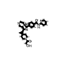 N[N+]12C=CN=CC1=C(C1CC13CCN(C(=O)CO)CC3)N=C2c1ccc(C(=O)Nc2ccccn2)cc1